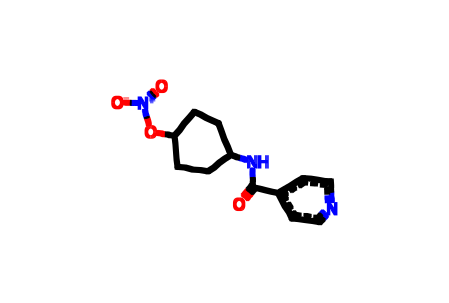 O=C(NC1CCC(O[N+](=O)[O-])CC1)c1ccncc1